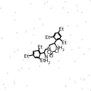 CCc1cc(CC)c(C(N)C[N](CC(N)c2c(CC)cc(CC)cc2CC)[Co]([Cl])[Cl])c(CC)c1